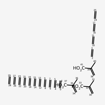 C=C.C=C.C=C.C=C.C=C.C=C.C=C.C=C.C=C.C=C.C=C.C=C.C=C.C=C.C=C.C=C(C)C(=O)O.C=C(C)C(=O)O.C=C(C)C(=O)O